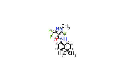 Cn1nc(C(F)F)c(C(=O)Nc2cccc3c2CCCC3(C)C)c1F